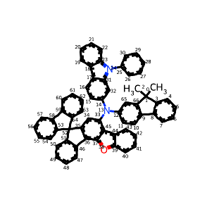 CC1(C)c2ccccc2-c2ccc(N(c3ccc4c5ccccc5n(-c5ccccc5)c4c3)c3cc4c(c5oc6ccccc6c35)-c3ccccc3C43c4ccccc4-c4ccccc43)cc21